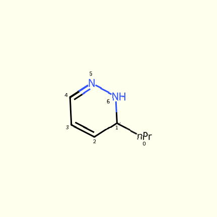 CCC[C]1C=CC=NN1